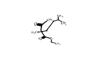 CCOC(=O)C(C)(CCC(C)C)C(C)=O